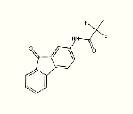 CC(F)(F)C(=O)Nc1ccc2c(c1)C(=O)c1ccccc1-2